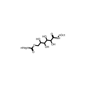 CCCCCCCCNC(=O)C(O)C(O)C(O)C(O)COC(=O)CCCCCCC